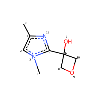 Cc1cn(C)c(C2(O)COC2)n1